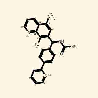 CCCCC(=O)NC(c1ccc(-c2ccccn2)cc1)c1cc([N+](=O)[O-])c2cccnc2c1O